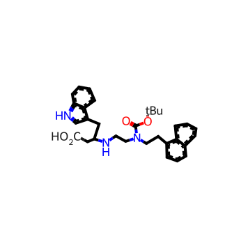 CC(C)(C)OC(=O)N(CCNC(CC(=O)O)Cc1c[nH]c2ccccc12)CCc1cccc2ccccc12